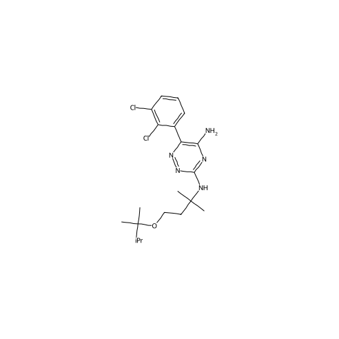 CC(C)C(C)(C)OCCC(C)(C)Nc1nnc(-c2cccc(Cl)c2Cl)c(N)n1